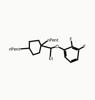 CCCCCC1CCC(CCCCC)(C(CC)Oc2cccc(F)c2F)CC1